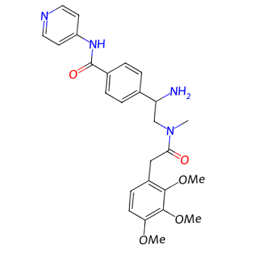 COc1ccc(CC(=O)N(C)CC(N)c2ccc(C(=O)Nc3ccncc3)cc2)c(OC)c1OC